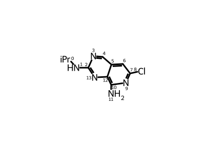 CC(C)Nc1ncc2cc(Cl)nc(N)c2n1